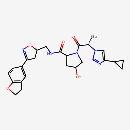 CC(C)(C)[C@@H](C(=O)N1CC(O)CC1C(=O)NCC1CC(c2ccc3c(c2)CCO3)=NO1)n1cc(C2CC2)nn1